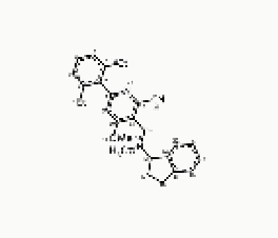 CCc1cccc(CC)c1-c1cc(OC)c(CN(C)C2CCc3ccccc32)c(C#N)n1